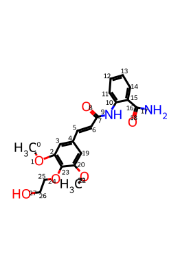 COc1cc(/C=C/C(=O)Nc2ccccc2C(N)=O)cc(OC)c1OCCO